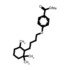 COC(=O)c1ccc(OCCCCC2C(C)CCCC2(C)C)cc1